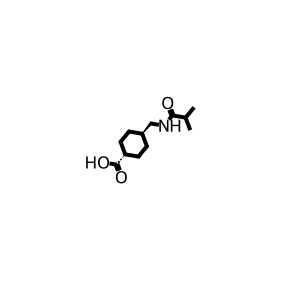 CC(C)C(=O)NC[C@H]1CC[C@H](C(=O)O)CC1